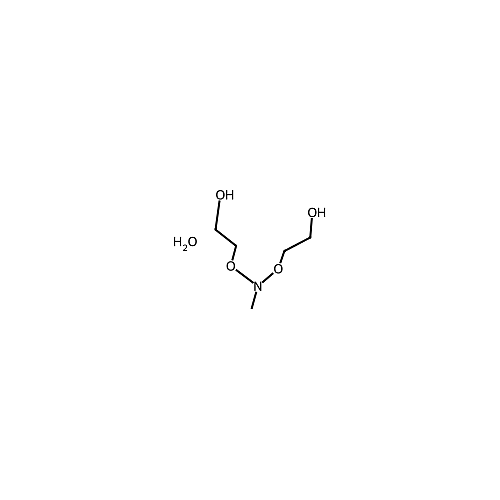 CN(OCCO)OCCO.O